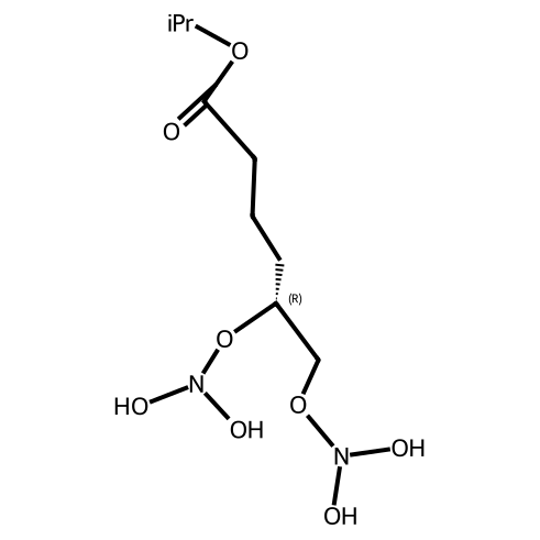 CC(C)OC(=O)CCC[C@H](CON(O)O)ON(O)O